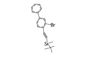 CC(C)(C)[Si](C)(C)C#Cc1ccc(-c2ccccc2)cc1Br